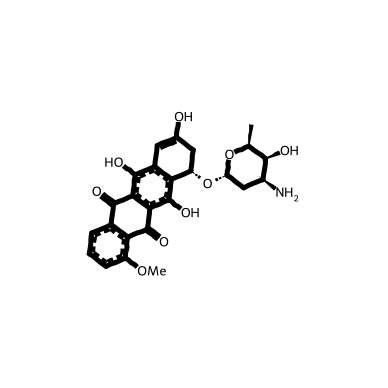 COc1cccc2c1C(=O)c1c(O)c3c(c(O)c1C2=O)C=C(O)C[C@@H]3O[C@H]1C[C@H](N)[C@H](O)[C@H](C)O1